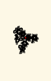 COCCCN1C(=O)C(F)(F)Oc2ccc(N(C(=O)[C@H]3CN(C(=O)OC(C)(C)C)CC[C@@H]3c3cccc(-c4ccccc4F)c3)C3CC3)cc21